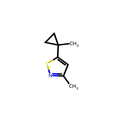 Cc1cc(C2(C)CC2)sn1